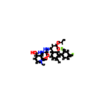 CCOC(=O)C[C@H](NC(=O)Nc1c(O)ccn(C)c1=O)c1ccc(C)c(-c2ccc(F)cc2F)c1